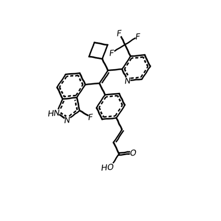 O=C(O)/C=C/c1ccc(/C(=C(\c2ncccc2C(F)(F)F)C2CCC2)c2cccc3[nH]nc(F)c23)cc1